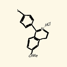 COc1ccc2c(c1)CCN=C2c1ccc(I)cc1.Cl